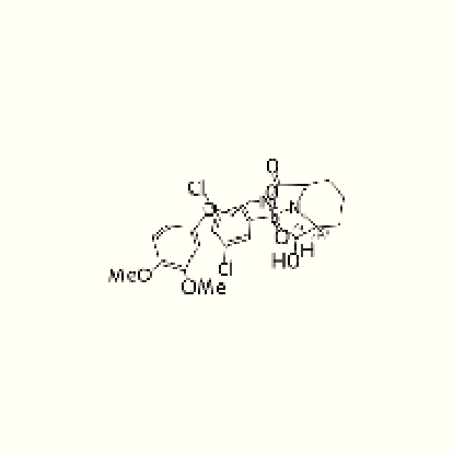 COc1ccc(OCCN2C[C@H](O)[C@@H]3CCCC(C2=O)N3S(=O)(=O)c2cc(Cl)cc(Cl)c2)cc1OC